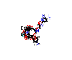 CCC(=O)/N=C1\[C@H](C)C[C@@]2(C)OC/C(=N/OCc3coc(-c4cccc(N)n4)n3)CC[C@H]([C@H]1C)C(C)(O)[C@@H](CC)OC(=O)[C@@](C)(F)C(=O)[C@H](C)[C@H]2O[C@H]1C[C@@H](N(C)C)C[C@@H](C)O1